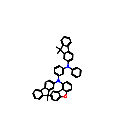 CC1(C)c2ccccc2-c2ccc(N(c3ccccc3)c3cccc(N(c4ccc5c(c4)C(C)(C)c4ccccc4-5)c4cccc5oc6ccccc6c45)c3)cc21